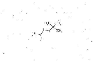 CC(C)(C)C[CH]C(F)F